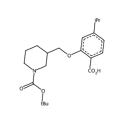 CC(C)c1ccc(C(=O)O)c(OCC2CCCN(C(=O)OC(C)(C)C)C2)c1